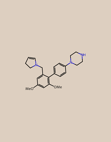 COc1cc(CN2C=CCC2)c(-c2ccc(N3CCNCC3)cc2)c(OC)c1